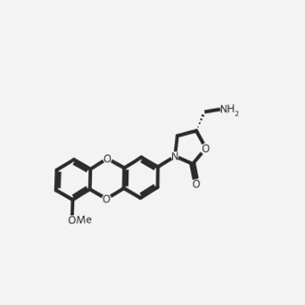 COc1cccc2c1Oc1ccc(N3C[C@H](CN)OC3=O)cc1O2